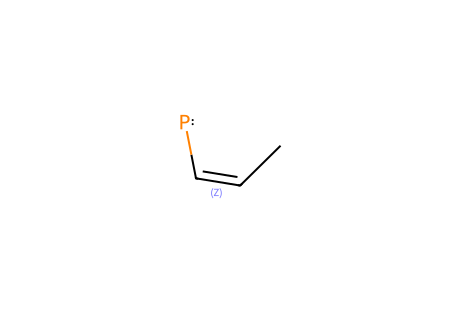 C/C=C\[P]